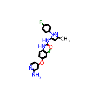 Cc1cc(NC(=O)Nc2ccc(Oc3ccnc(N)c3)cc2F)n(-c2ccc(F)cc2)n1